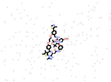 CC(=O)N[C@H](C(=O)N1C[C@H](O)C[C@H]1C(=O)NCc1ccc(-c2scnc2C)cc1OCCCOc1ccc(C2=N[C@@H](CC(=O)Nc3ccccc3)c3nnc(C)n3-c3sc(C)c(C)c32)cc1)C(C)(C)C